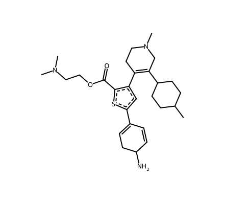 CC1CCC(C2=C(c3cc(C4=CCC(N)C=C4)sc3C(=O)OCCN(C)C)CCN(C)C2)CC1